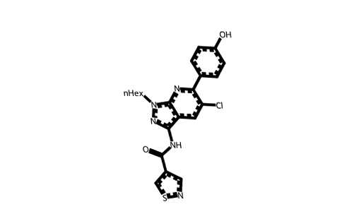 CCCCCCn1nc(NC(=O)c2cnsc2)c2cc(Cl)c(-c3ccc(O)cc3)nc21